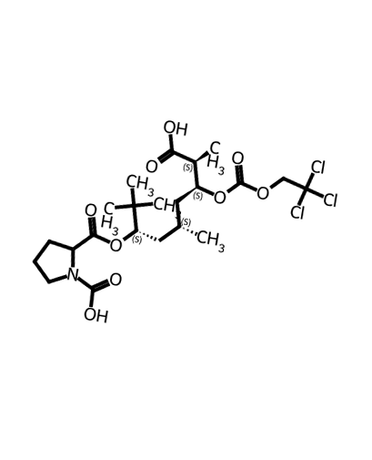 C[C@@H](C[C@H](OC(=O)OCC(Cl)(Cl)Cl)[C@H](C)C(=O)O)C[C@H](OC(=O)C1CCCN1C(=O)O)C(C)(C)C